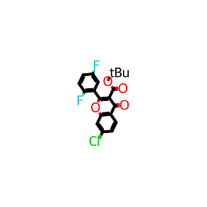 CC(C)(C)OC(=O)c1c(-c2cc(F)ccc2F)oc2cc(Cl)ccc2c1=O